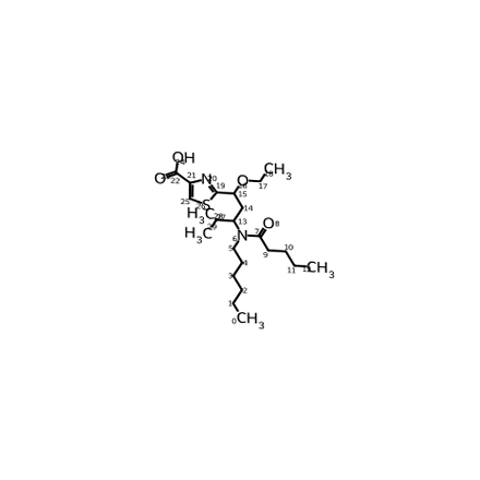 CCCCCCN(C(=O)CCCC)C(CC(OCC)c1nc(C(=O)O)cs1)C(C)C